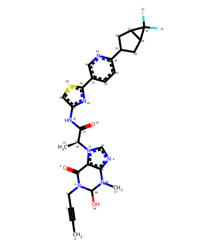 CC#CCN1C(=O)c2c(ncn2[C@@H](C)C(=O)Nc2csc(-c3ccc(C4CC5C(C4)C5(F)F)nc3)n2)N(C)C1O